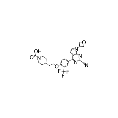 N#Cc1nc(-c2ccc(OCCC3CCN(C(=O)O)CC3)c(C(F)(F)F)c2)c2ccn(C3COC3)c2n1